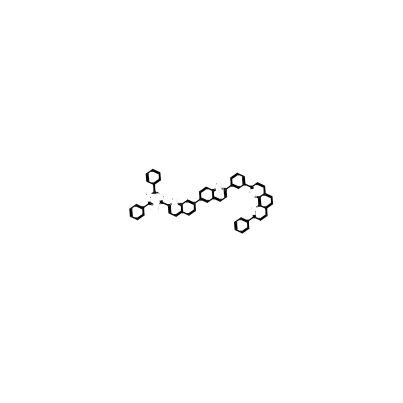 c1ccc(-c2ccc3ccc4ccc(-c5cccc(-c6ccc7cc(-c8ccc9ccc(-c%10nc(-c%11ccccc%11)nc(-c%11ccccc%11)n%10)nc9c8)ccc7n6)c5)nc4c3n2)cc1